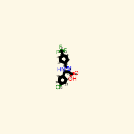 O=C(O)c1nc(-c2ccc(C(F)(F)F)cc2)[nH]c1-c1ccc(Cl)cc1